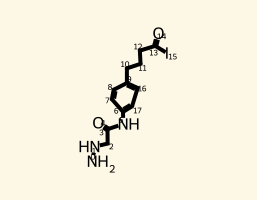 NNCC(=O)Nc1ccc(CCCC(=O)I)cc1